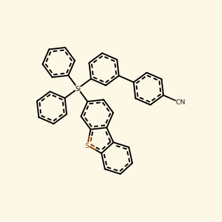 N#Cc1ccc(-c2cccc([Si](c3ccccc3)(c3ccccc3)c3ccc4c(c3)sc3ccccc34)c2)cc1